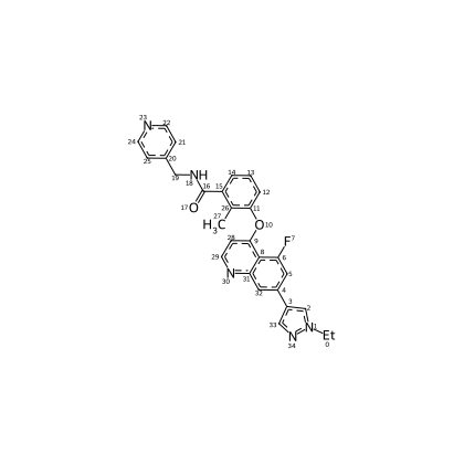 CCn1cc(-c2cc(F)c3c(Oc4cccc(C(=O)NCc5ccncc5)c4C)ccnc3c2)cn1